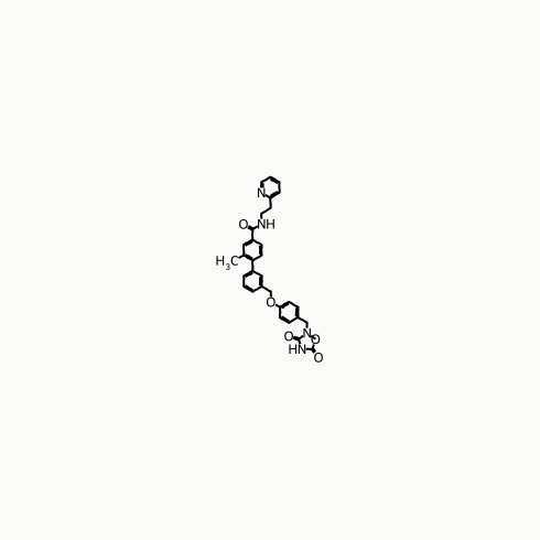 Cc1cc(C(=O)NCCc2ccccn2)ccc1-c1cccc(COc2ccc(Cn3oc(=O)[nH]c3=O)cc2)c1